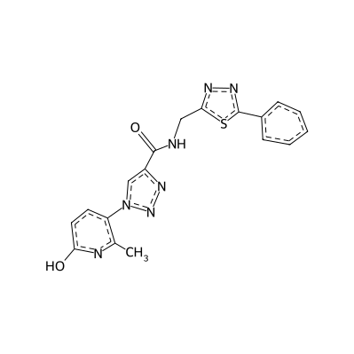 Cc1nc(O)ccc1-n1cc(C(=O)NCc2nnc(-c3ccccc3)s2)nn1